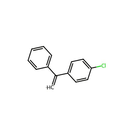 [CH]=C(c1ccccc1)c1ccc(Cl)cc1